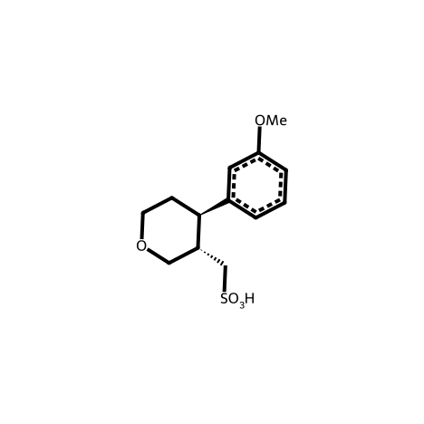 COc1cccc([C@@H]2CCOC[C@H]2CS(=O)(=O)O)c1